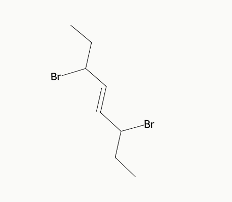 CCC(Br)C=CC(Br)CC